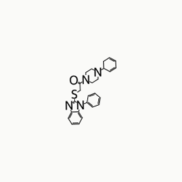 O=C(CSc1nc2ccccc2n1-c1ccccc1)N1CCN(C2C=CC=CC2)CC1